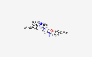 COc1ccc(CC(=O)NC2CCN(C(CC(NC(=O)O)c3ccc(OC)cc3)C(C)(C)C)CC2)cc1